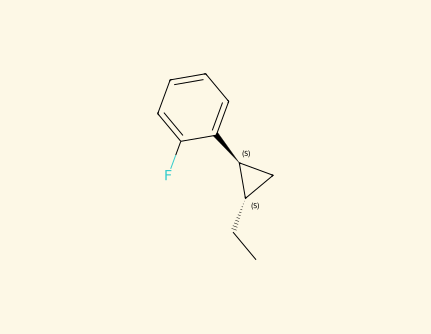 CC[C@H]1C[C@@H]1c1ccccc1F